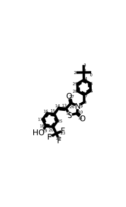 CC(C)(C)c1ccc(CN2C(=O)S/C(=C\c3ccc(O)c(C(F)(F)F)c3)C2=O)cc1